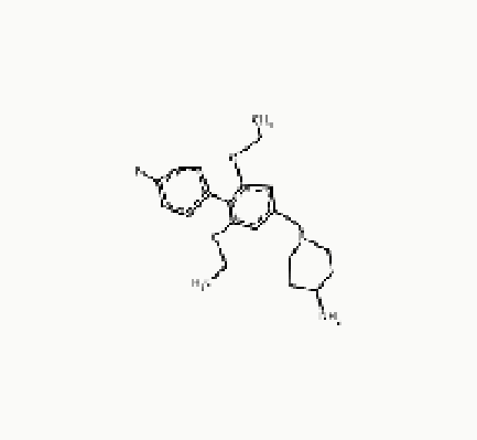 CCOc1cc(CN2CCC(N)CC2)cc(OCC)c1-c1ccc(F)cc1